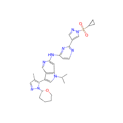 Cc1cnn(C2CCCCO2)c1-c1cn(C(C)C)c2cc(Nc3ccnc(-c4cnn(S(=O)(=O)C5CC5)c4)n3)ncc12